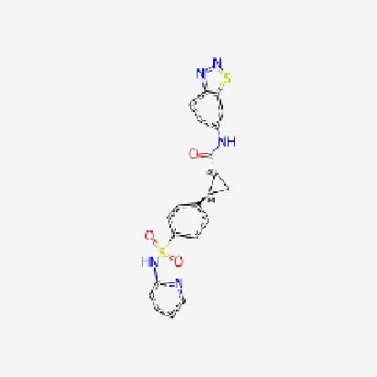 O=C(Nc1ccc2nnsc2c1)[C@@H]1C[C@H]1c1ccc(S(=O)(=O)Nc2ccccn2)cc1